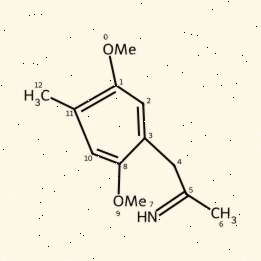 COc1cc(CC(C)=N)c(OC)cc1C